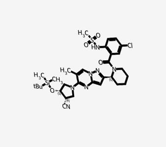 Cc1cn2nc([C@@H]3CCCCN3C(=O)c3cc(Cl)ccc3NS(C)(=O)=O)cc2nc1N1C[C@H](C#N)[C@H](O[Si](C)(C)C(C)(C)C)C1